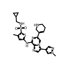 Cc1cc(Nc2nc(C3=CCCNC3)cn3c(-c4cnn(C)c4)cnc23)sc1S(=O)(=O)NCC1CC1